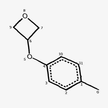 Cc1ccc(OC2COC2)cc1